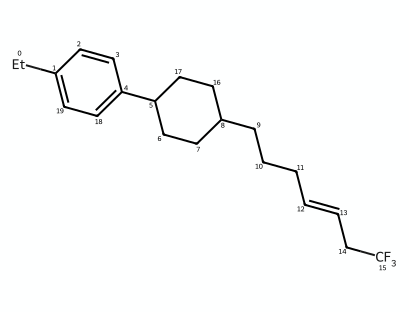 CCc1ccc(C2CCC(CCC/C=C/CC(F)(F)F)CC2)cc1